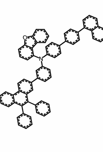 c1ccc(-c2c(-c3ccccc3)c3cc(-c4cccc(N(c5ccc(-c6ccc(-c7cccc8ccccc78)cc6)cc5)c5cccc6oc7ccccc7c56)c4)ccc3c3ccccc23)cc1